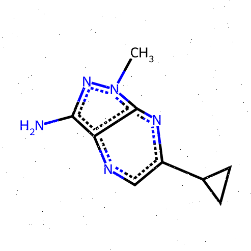 Cn1nc(N)c2ncc(C3CC3)nc21